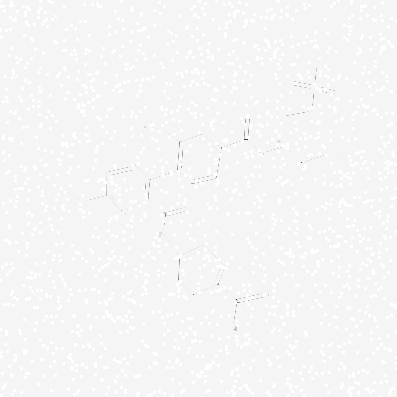 CCOc1ccc(-c2ccc(C(=O)N[C@H](COS(C)(=O)=O)CC(C)(C)C)cc2C(=O)O)c(C(=O)Nc2ccc(C(=N)N)cc2)n1